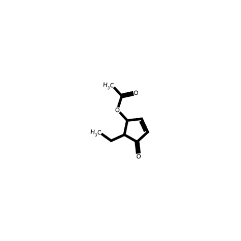 CCC1C(=O)C=CC1OC(C)=O